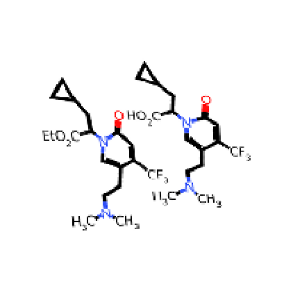 CCOC(=O)C(CC1CC1)n1cc(CCN(C)C)c(C(F)(F)F)cc1=O.CN(C)CCc1cn(C(CC2CC2)C(=O)O)c(=O)cc1C(F)(F)F